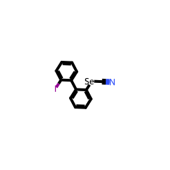 N#C[Se]c1ccccc1-c1ccccc1I